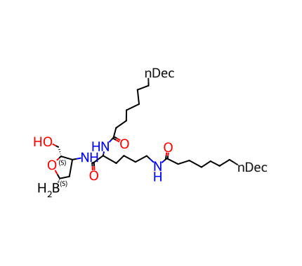 B[C@H]1CC(NC(=O)C(CCCCNC(=O)CCCCCCCCCCCCCCCC)NC(=O)CCCCCCCCCCCCCCCC)[C@@H](CO)O1